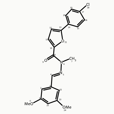 COc1cc(C=NN(C)C(=O)c2ccc(-c3ccc(Cl)cc3)o2)cc(OC)c1